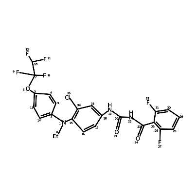 CCN(c1ccc(OC(F)(F)C(F)F)cc1)c1ccc(NC(=O)NC(=O)c2c(F)cccc2F)cc1Cl